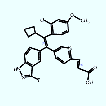 COc1ccc(/C(=C(\c2ccc(/C=C/C(=O)O)nc2)c2ccc3[nH]nc(F)c3c2)C2CCC2)c(Cl)c1